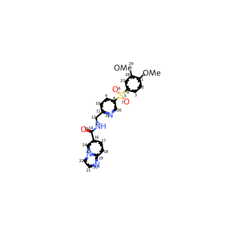 COc1ccc(S(=O)(=O)c2ccc(CNC(=O)c3ccc4nccn4c3)nc2)cc1OC